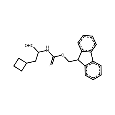 O=CC(CC1CCC1)NC(=O)OCC1c2ccccc2-c2ccccc21